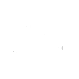 O=C(O)C(Oc1ccc(Br)cc1Cl)C1CC1